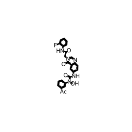 CC(=O)c1cccc(N(O)C(=O)Nc2ccc3ncn(CC(=O)Nc4ccccc4F)c(=O)c3c2)c1